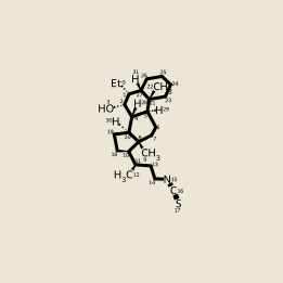 CC[C@H]1[C@@H](O)[C@@H]2[C@H](CC[C@]3(C)[C@@H]([C@H](C)CCN=C=S)CC[C@@H]23)[C@@]2(C)CCCC[C@@H]12